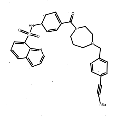 CCCCC#Cc1ccc(CN2CCCN(C(=O)C3=CCC(NS(=O)(=O)c4cccc5cccnc45)C=C3)CC2)cc1